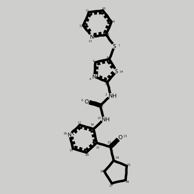 O=C(Nc1ncc(Sc2ccccn2)s1)Nc1cnccc1C(=O)C1CCCC1